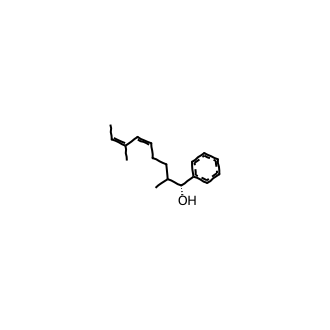 C/C=C(C)\C=C/CCC(C)[C@@H](O)c1ccccc1